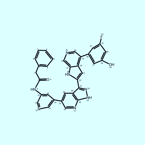 O=C(Cc1ccccc1)Nc1cncc(-c2cnc3[nH]nc(-c4cc5c(-c6cc(O)cc(F)c6)cncc5[nH]4)c3c2)c1